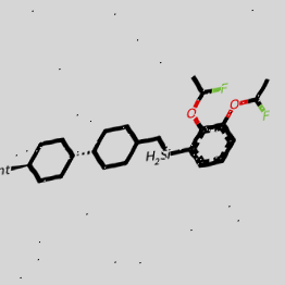 CCCCC[C@H]1CC[C@H](C2CCC(C[SiH2]c3cccc(OC(C)F)c3OC(C)F)CC2)CC1